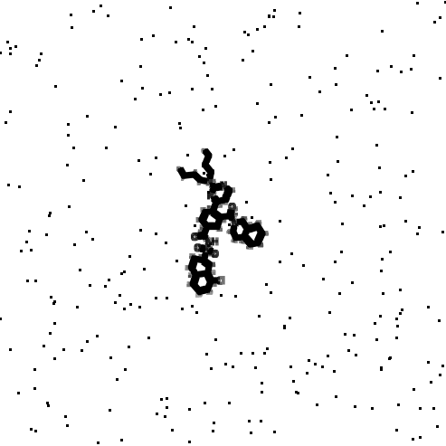 CCCCN(CCCC)c1nccc(-c2ccc(C(=O)NS(=O)(=O)c3ccc4cccc(Cl)c4c3)cc2C(=O)N2CCc3ccccc3C2)n1